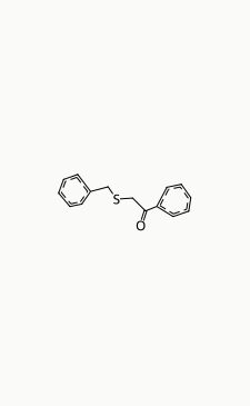 O=C(CSCc1ccccc1)c1ccccc1